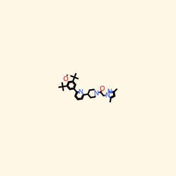 COc1c(C(C)(C)C)cc(-c2cccc(C3CCN(C(=O)Cn4nc(C)cc4C)CC3)n2)cc1C(C)(C)C